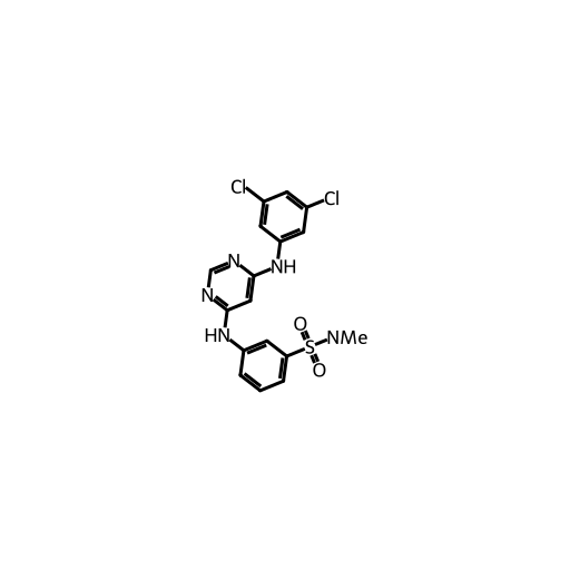 CNS(=O)(=O)c1cccc(Nc2cc(Nc3cc(Cl)cc(Cl)c3)ncn2)c1